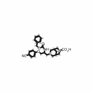 N#Cc1ccc(OCC(CN2CC3CC(C2)CN(C(=O)O)C3)NC(=O)OCc2ccccc2)cc1